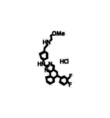 COCCNCCc1ccc(Nc2ncc3c(n2)-c2ccccc2C(c2ccc(F)c(F)c2)C3)cc1.Cl